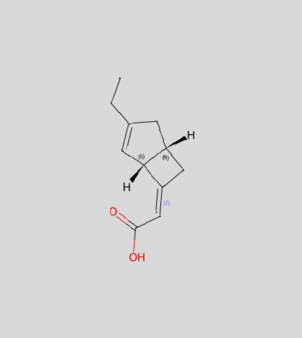 CCC1=C[C@H]2/C(=C\C(=O)O)C[C@H]2C1